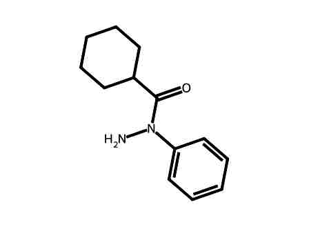 NN(C(=O)C1CCCCC1)c1ccccc1